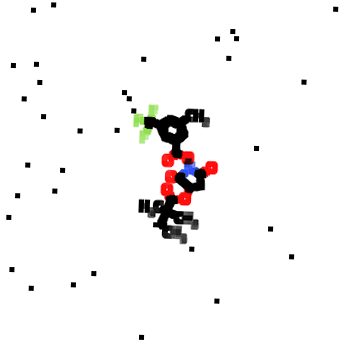 CCC(C)(C)C(=O)OC1CC(=O)N(OC(=O)c2cc(C)cc(C(F)(F)F)c2)C1=O